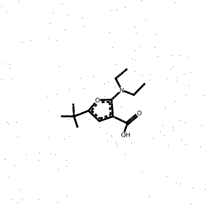 CCN(CC)c1oc(C(C)(C)C)cc1C(=O)O